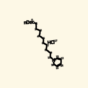 CCCCCCCCCCCCCCCCCCCCN1C=CC=CC1.Cl